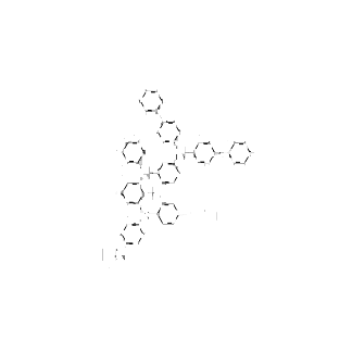 CC(C)(C)c1ccc2c(c1)B1c3ccc(N(c4ccc(-c5ccccc5)cc4)c4ccc(-c5ccccc5)cc4)cc3N(c3ccccc3)c3cccc(c31)N2c1ccc(N)cc1